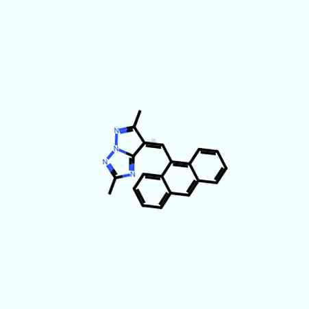 Cc1nc2/c(=C\c3c4ccccc4cc4ccccc34)c(C)nn2n1